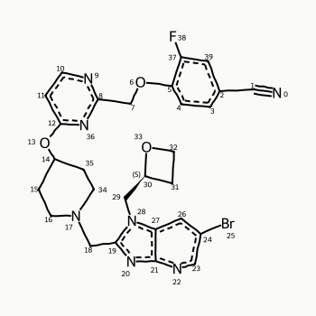 N#Cc1ccc(OCc2nccc(OC3CCN(Cc4nc5ncc(Br)cc5n4C[C@@H]4CCO4)CC3)n2)c(F)c1